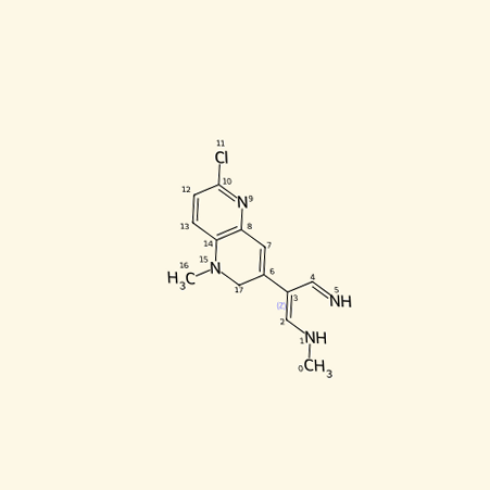 CN/C=C(\C=N)C1=Cc2nc(Cl)ccc2N(C)C1